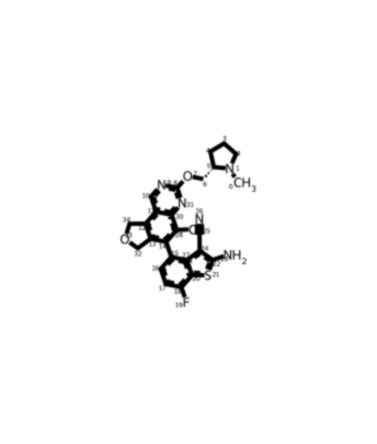 CN1CCC[C@H]1COc1ncc2c3c(c(-c4ccc(F)c5sc(N)c(C#N)c45)c(Cl)c2n1)COC3